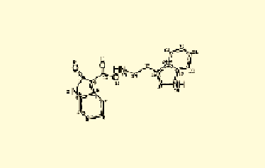 O=C1N=c2ccccc2=C1C(=O)ONCCc1c[nH]c2ccccc12